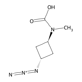 CN(C(=O)O)[C@H]1C[C@H](N=[N+]=[N-])C1